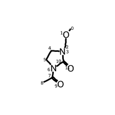 COCN1CCN(C(C)=O)C1=O